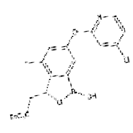 CCOC(=O)CC1OB(O)c2cc(Oc3cc(Cl)ccn3)cc(C)c21